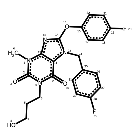 Cn1c(=O)n(CCCO)c(=O)c2c1nc(Oc1ccc(F)cc1)n2Cc1ccc(F)cc1